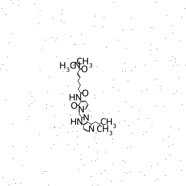 CC(C)Cc1nccc2[nH]c(Cn3cccc(NC(=O)CCC/C=C/C(=O)N(C)C)c3=O)nc12